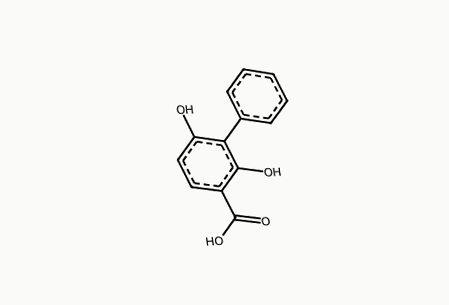 O=C(O)c1ccc(O)c(-c2ccccc2)c1O